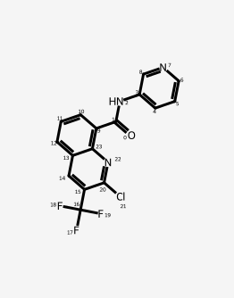 O=C(Nc1cccnc1)c1cccc2cc(C(F)(F)F)c(Cl)nc12